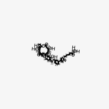 CC[C@H]1OC(=O)[C@H](C)[C@@H](O)[C@H](C)[C@@H](O[C@@H]2O[C@H](C)C[C@H](N(C)Cc3cccc(-c4cn(CCCCCC(=O)NO)nn4)c3)[C@H]2O)[C@@]2(C)C[C@@H](CO2)C(=O)[C@H](C)[C@@H](O)[C@]1(C)O